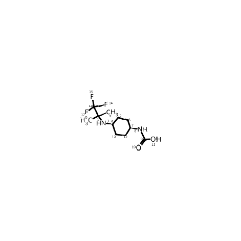 CC(C)(N[C@H]1CC[C@@H](NC(=O)O)CC1)C(F)(F)F